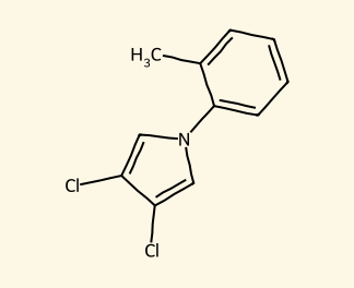 Cc1ccccc1-n1cc(Cl)c(Cl)c1